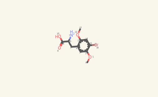 COc1cc(CC(N)C(=O)O)c(OC)cc1Br